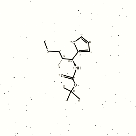 CSC[C@@H](C)[C@H](NC(=O)OC(C)(C)C)c1ccco1